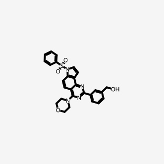 O=S(=O)(c1ccccc1)n1ccc2c3nc(-c4cccc(CO)c4)nc(N4CCOCC4)c3ccc21